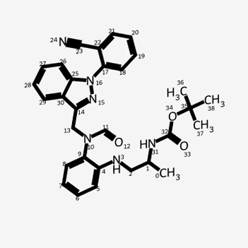 CC(CNc1ccccc1N(C=O)Cc1nn(-c2ccccc2C#N)c2ccccc12)NC(=O)OC(C)(C)C